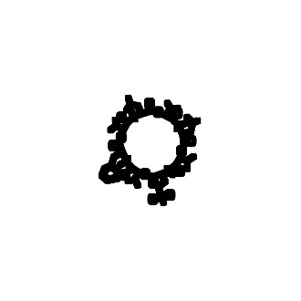 CC(C)CC1C(=O)OC(C(C)C)C(=O)N(C)C(CCS(C)(=O)=O)C(=O)OC(C(C)C)C(=O)N(C)C(Cc2ccccc2)C(=O)OC(C(C)C)C(=O)N(C)C(CC(C)C)C(=O)OC(C(C)C)C(=O)N1C